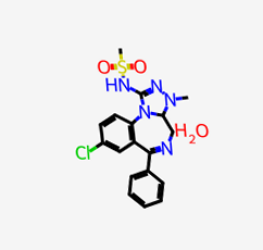 CN1N=C(NS(C)(=O)=O)N2c3ccc(Cl)cc3C(c3ccccc3)=NCC12.O